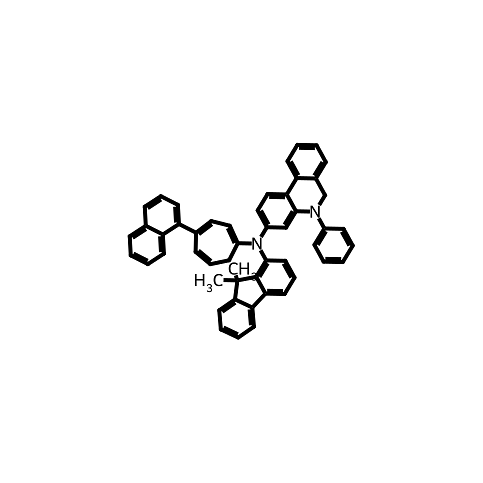 CC1(C)c2ccccc2-c2cccc(N(C3=CC=C(c4cccc5ccccc45)C=CC3)c3ccc4c(c3)N(c3ccccc3)Cc3ccccc3-4)c21